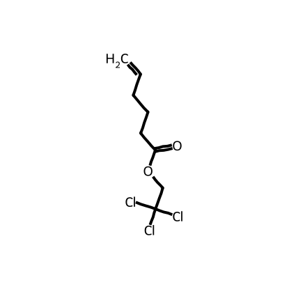 C=CCCCC(=O)OCC(Cl)(Cl)Cl